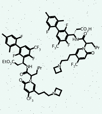 CCOC(=O)C[C@H](NC(=O)C(CC(C)C)n1cc(CCCN2CCC2)c(C(F)(F)F)cc1=O)c1c(F)c(-c2c(C)cc(C)cc2F)cc(C(F)(F)F)c1F.Cc1cc(C)c(-c2cc(C(F)(F)F)c(F)c([C@H](CC(=O)O)NC(=O)C(CC(C)C)n3cc(CCCN4CCC4)c(C(F)(F)F)cc3=O)c2F)c(F)c1